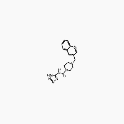 O=C(Nc1nnn[nH]1)N1CCN(Cc2cnc3ccccc3c2)CC1